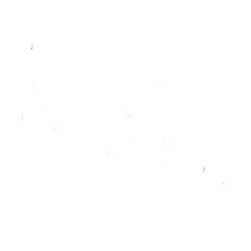 CON1CC2(C)OC(C)(C1)C1C(=O)N(c3ccc(C#N)c(C(F)(F)F)c3)C(=O)C12